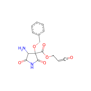 NC1C(=O)NC(=O)C1(OCc1ccccc1)C(=O)OCC=C=O